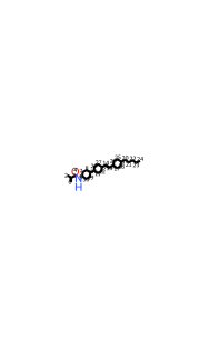 C=C(C)C(=O)NC1CCC(C2CCC(/C=C/C3CCC(CCCCC)CC3)CC2)CC1